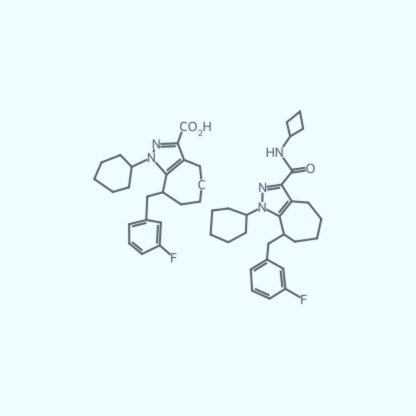 O=C(NC1CCC1)c1nn(C2CCCCC2)c2c1CCCCC2Cc1cccc(F)c1.O=C(O)c1nn(C2CCCCC2)c2c1CCCCC2Cc1cccc(F)c1